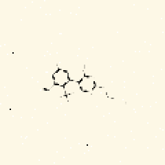 CCSc1ncc(-c2cc(F)cc(C=O)c2C(F)(F)F)c(N)n1